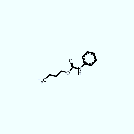 CCCCOC(=O)Nc1c[c]ccc1